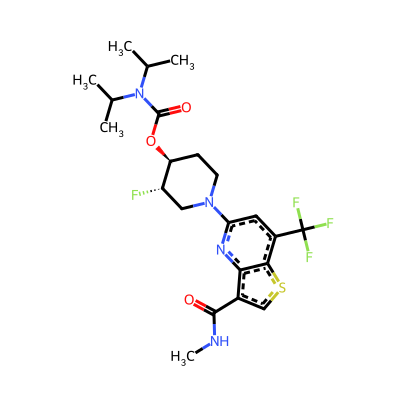 CNC(=O)c1csc2c(C(F)(F)F)cc(N3CC[C@H](OC(=O)N(C(C)C)C(C)C)[C@@H](F)C3)nc12